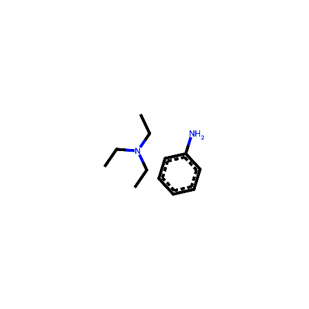 CCN(CC)CC.Nc1ccccc1